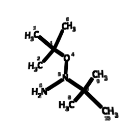 CC(C)(C)ON(N)C(C)(C)C